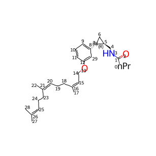 CCCC(=O)NC[C@@H]1C[C@H]1c1cccc(OCC=C(C)CCC=C(C)CCC=C(C)C)c1